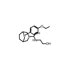 CCOc1ccc(N2CC3CCC2CN(C(O)NCCO)C3)cc1